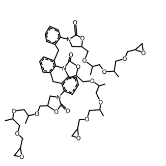 CC(COCC1CO1)OCC(C)OCC1CN(c2ccccc2Cc2cccc(Cc3ccccc3N3CC(COC(C)COC(C)COCC4CO4)OC3=O)c2N2CC(COC(C)COC(C)COCC3CO3)OC2=O)C(=O)O1